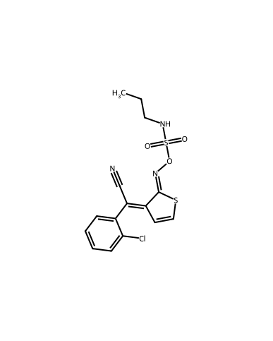 CCCNS(=O)(=O)O/N=C1\SC=C\C1=C(\C#N)c1ccccc1Cl